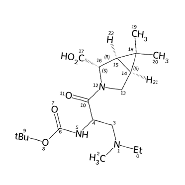 CCN(C)CC(NC(=O)OC(C)(C)C)C(=O)N1C[C@H]2[C@@H]([C@H]1C(=O)O)C2(C)C